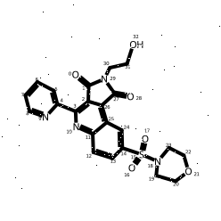 O=C1c2c(-c3ccccn3)nc3ccc(S(=O)(=O)N4CCOCC4)cc3c2C(=O)N1CCO